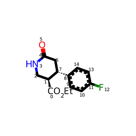 CCOC(=O)[C@H]1CNC(=O)C[C@@H]1c1ccc(F)cc1